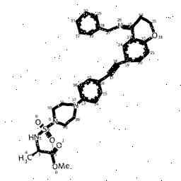 COC(=O)[C@@H](C)NS(=O)(=O)N1CCN(c2ccc(C#Cc3ccc4c(c3)/C(=N\Cc3ccccc3)CCO4)cc2)CC1